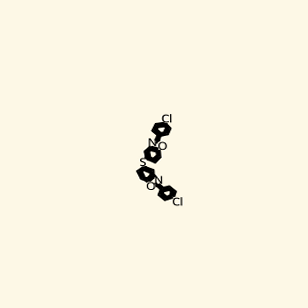 Clc1ccc(-c2nc3cc(Sc4ccc5oc(-c6ccc(Cl)cc6)nc5c4)ccc3o2)cc1